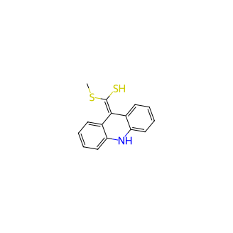 CSC(S)=C1c2ccccc2Nc2ccccc21